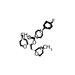 CN1CCO[C@H](CC(OC(=O)N2CCN(c3ccc(F)cc3)CC2)[C@H]2CN(C)CCO2)C1